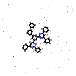 c1ccc(-c2cccc(-c3cc(-c4cc(-c5ccccc5)nc(-c5ccccc5)n4)cc(-c4nc(-c5ccccc5)c5sc6ccccc6c5n4)c3)c2)cc1